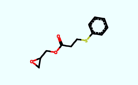 O=C(CCSc1ccccc1)OCC1CO1